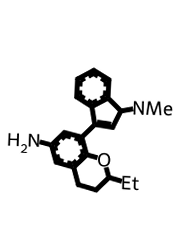 CCC1CCc2cc(N)cc(C3=CC(NC)c4ccccc43)c2O1